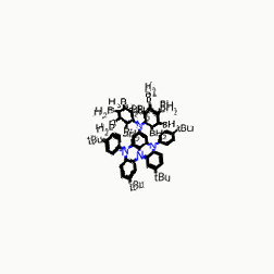 BC1C(B)C(B)C(N(C2=CC3C4C(=C2)N(c2ccc(C(C)(C)C)cc2)C2C=CC(C(C)(C)C)=CC2N4C2C=C(C(C)(C)C)C=CC2N3c2ccc(C(C)(C)C)cc2)C2C(B)C(B)C(B)C(B)C2B)C(B)C1B